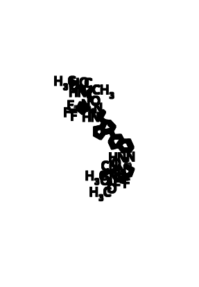 COC(=O)N[C@H](C(=O)N1C[C@@H](C(F)(F)F)C[C@H]1c1ncc(-c2ccc(-c3ccc4c(ccc5nc([C@@H]6CC[C@H](C(F)(F)F)N6C(=O)[C@@H](NC(=O)OC)C(C)C)[nH]c54)c3)c3c2CCC3)[nH]1)C(C)C